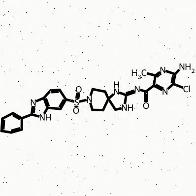 Cc1nc(N)c(Cl)nc1C(=O)/N=C1\NCC2(CCN(S(=O)(=O)c3ccc4nc(-c5ccccc5)[nH]c4c3)CC2)N1